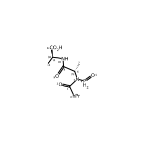 CCCC(=O)N([PH2]=O)[C@@H](C)C(=O)N[C@@H](C)C(=O)O